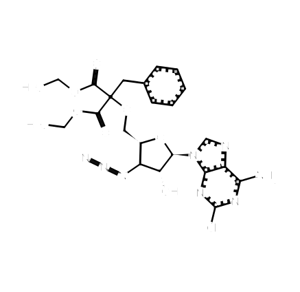 CCOC(=O)C(Cc1ccccc1)(OC[C@H]1O[C@@H](n2cnc3c(N)nc(Cl)nc32)[C@H](O)C1N=[N+]=[N-])C(=O)OCC